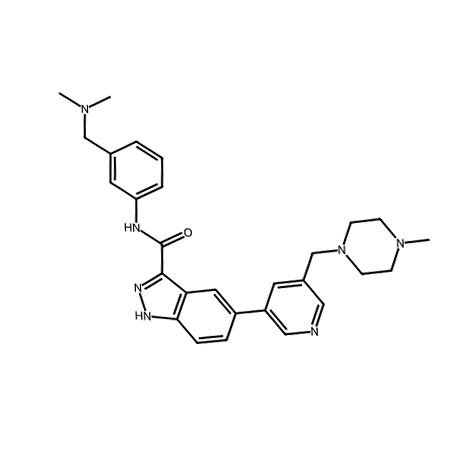 CN(C)Cc1cccc(NC(=O)c2n[nH]c3ccc(-c4cncc(CN5CCN(C)CC5)c4)cc23)c1